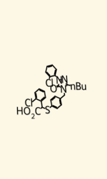 CCCCc1nn(-c2ccccc2Cl)c(=O)n1Cc1ccc(SC(C(=O)O)c2ccccc2Cl)cc1